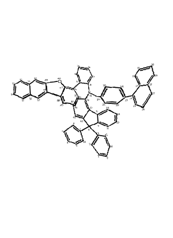 c1ccc(C2(c3ccccc3)c3ccccc3-c3c(N(c4ccc(-c5cccc6ccccc56)cc4)c4ccccc4-c4cccc5c4oc4cc6ccccc6cc45)cccc32)cc1